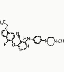 CCn1ccc2c(F)c(Oc3ncnc(Nc4ccc(N5CCN(C)CC5)cc4)c3C#N)ccc21